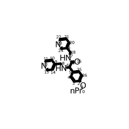 CCCOc1ccc(C(NCc2ccncc2)C(=O)NCc2cccnc2)cc1